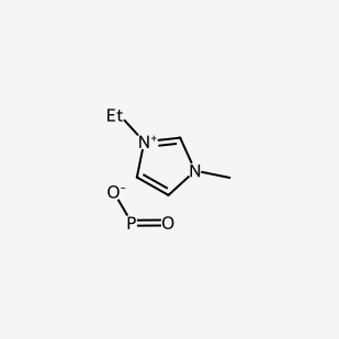 CC[n+]1ccn(C)c1.O=P[O-]